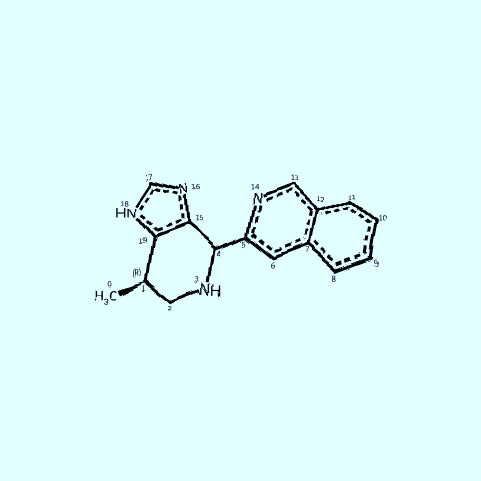 C[C@@H]1CNC(c2cc3ccccc3cn2)c2nc[nH]c21